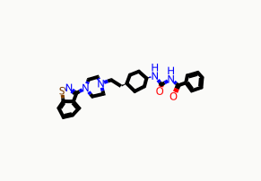 O=C(NC(=O)c1ccccc1)N[C@H]1CC[C@@H](CCN2CCN(c3nsc4ccccc34)CC2)CC1